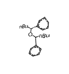 CCCCC(OC(CCCC)c1ccccc1)c1ccccc1